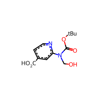 CC(C)(C)OC(=O)N(CO)c1cc(C(=O)O)ccn1